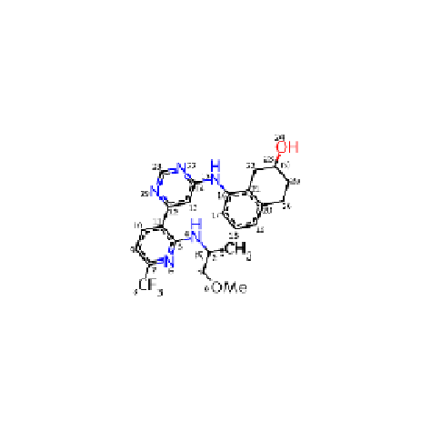 COC[C@H](C)Nc1nc(C(F)(F)F)ccc1-c1cc(Nc2cccc3c2C[C@@H](O)CC3)ncn1